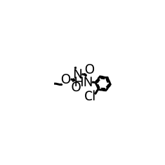 CCOC(=O)N(C)C(=O)Nc1ccccc1Cl